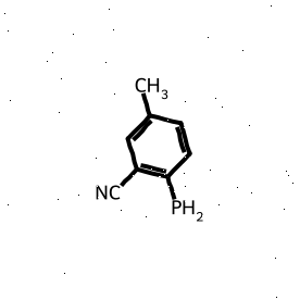 Cc1ccc(P)c(C#N)c1